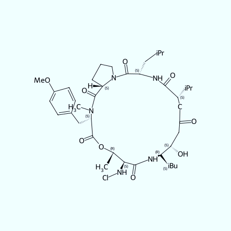 CC[C@H](C)[C@H]1NC(=O)[C@@H](NCl)[C@@H](C)OC(=O)[C@H](Cc2ccc(OC)cc2)N(C)C(=O)[C@@H]2CCCN2C(=O)[C@H](CC(C)C)NC(=O)[C@H](C(C)C)CC(=O)C[C@@H]1O